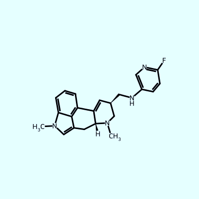 CN1C[C@H](CNc2ccc(F)nc2)C=C2c3cccc4c3c(cn4C)C[C@H]21